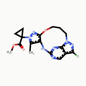 COC(=O)C1(n2nc3c(c2C)Nc2ncc4c(Cl)nn(c4n2)CCCO3)CC1